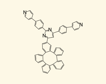 c1ccc2c(c1)c1ccccc1c1ccccc1c1cc(-c3cc(-c4ccc(-c5ccncc5)cc4)nc(-c4ccc(-c5ccncc5)cc4)n3)ccc1c1ccccc21